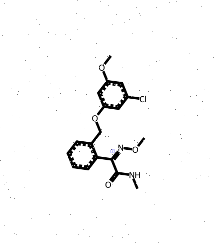 CNC(=O)/C(=N\OC)c1ccccc1COc1cc(Cl)cc(OC)c1